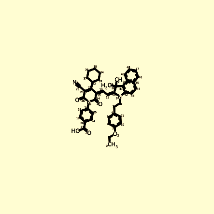 CCOc1ccc(CCN2/C(=C/C=C3\C(=O)N(c4ccc(C(=O)O)cc4)C(=O)C(C#N)=C3C3CCCCC3)C(C)(C)c3c2ccc2ccccc32)cc1